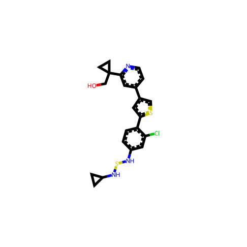 OCC1(c2cc(-c3csc(-c4ccc(NSNC5CC5)cc4Cl)c3)ccn2)CC1